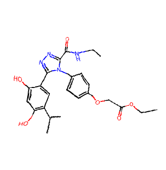 CCNC(=O)c1nnc(-c2cc(C(C)C)c(O)cc2O)n1-c1ccc(OCC(=O)OCC)cc1